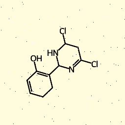 OC1=C(C2N=C(Cl)CC(Cl)N2)CCC=C1